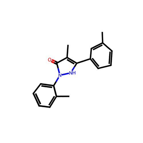 Cc1cccc(-c2[nH]n(-c3ccccc3C)c(=O)c2C)c1